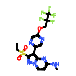 CCS(=O)(=O)c1nn2ccc(NC)nc2c1-c1cnc(OCC(F)(F)C(F)(F)F)cn1